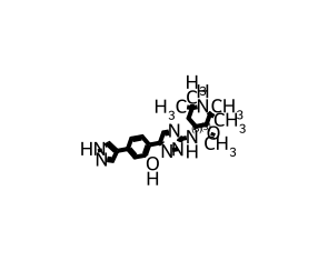 CO[C@H]1[C@@H](Nc2ncc(-c3ccc(-c4cn[nH]c4)cc3O)nn2)CC(C)(C)NC1(C)C